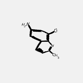 Cc1ccc2cc(N)cc(Cl)c2n1